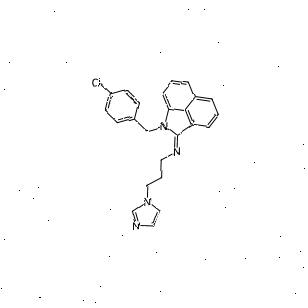 Clc1ccc(CN2C(=NCCCn3ccnc3)c3cccc4cccc2c34)cc1